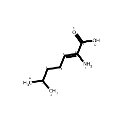 CC(C)CC/C=C(\N)C(=O)O